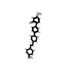 CCCc1ccc(-c2ccc(C3CCC(CCC4CCC(CCC)CC4)CC3)cc2)c(F)c1